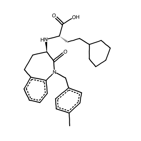 Cc1ccc(CN2C(=O)[C@H](N[C@@H](CCC3CCCCC3)C(=O)O)CCc3ccccc32)cc1